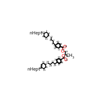 CCCCCCC[C@H]1CC[C@H](CCCCc2ccc(C(=O)OC[C@@H](C)OC(=O)c3ccc(CCCC[C@H]4CC[C@H](CCCCCCC)CC4)cc3)cc2)CC1